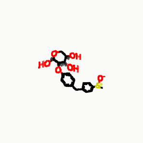 C[S+]([O-])c1ccc(Cc2ccc(O[C@@H]3[C@@H](O)[C@H](O)CO[C@H]3O)cc2)cc1